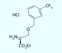 CCOC(=O)[C@@H](N)COCc1cccc(C(F)(F)F)c1.Cl